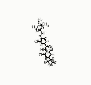 CC(C)(C)OC(=O)NCc1ccc(C(=O)NC2C(Cl)=CC(C(F)(C(F)F)C(F)(F)F)=CC2Cl)cc1Cl